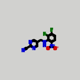 N#Cc1ncc(CNc2c([N+](=O)[O-])ccc(F)c2F)cn1